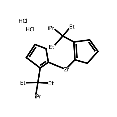 CCC(CC)(C1=[C]([Zr][C]2=C(C(CC)(CC)C(C)C)C=CC2)CC=C1)C(C)C.Cl.Cl